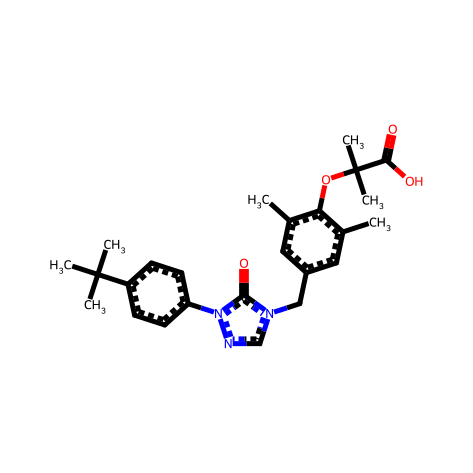 Cc1cc(Cn2cnn(-c3ccc(C(C)(C)C)cc3)c2=O)cc(C)c1OC(C)(C)C(=O)O